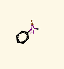 [CH2][PH](=S)c1ccccc1